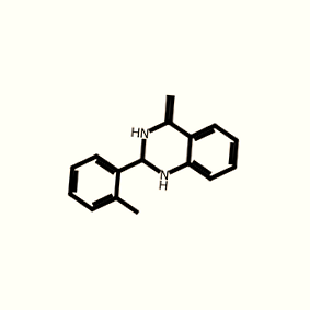 C=C1NC(c2ccccc2C)Nc2ccccc21